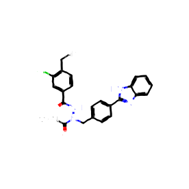 CNC(=O)N(Cc1ccc(-c2nc3ccccc3[nH]2)cc1)NC(=O)c1ccc(CC(C)C)c(Cl)c1